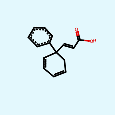 O=C(O)/C=C/C1(c2ccccc2)C=CC=CC1